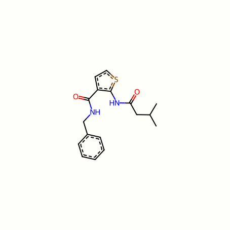 CC(C)CC(=O)Nc1sccc1C(=O)NCc1ccccc1